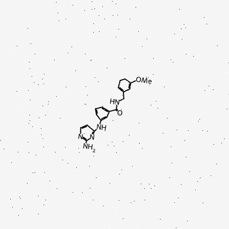 COC1=CC(CNC(=O)c2cccc(Nc3ccnc(N)n3)c2)=CCC1